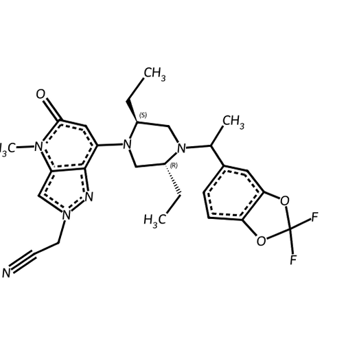 CC[C@H]1CN(C(C)c2ccc3c(c2)OC(F)(F)O3)[C@H](CC)CN1c1cc(=O)n(C)c2cn(CC#N)nc12